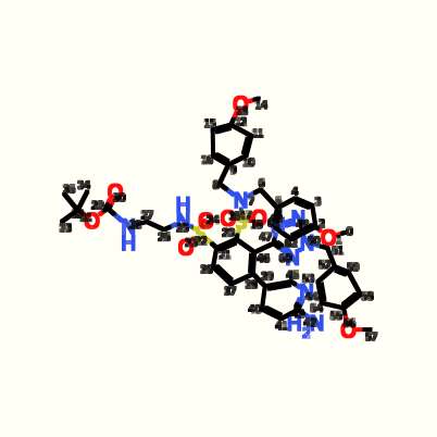 COc1ccc(CN(Cc2ccc(OC)cc2)S(=O)(=O)c2c(S(=O)(=O)NCCNC(=O)OC(C)(C)C)ccc(-c3ccc(N)nc3)c2-c2nnn(Cc3ccc(OC)cc3)n2)cc1